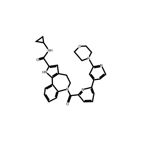 O=C(NC1CC1)c1cc2c([nH]1)-c1ccccc1N(C(=O)c1cccc(-c3ccnc(N4CCOCC4)c3)n1)CC2